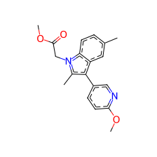 COC(=O)Cn1c(C)c(-c2ccc(OC)nc2)c2cc(C)ccc21